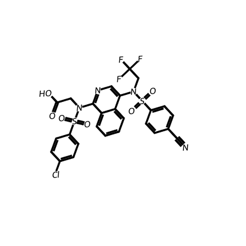 N#Cc1ccc(S(=O)(=O)N(CC(F)(F)F)c2cnc(N(CC(=O)O)S(=O)(=O)c3ccc(Cl)cc3)c3ccccc23)cc1